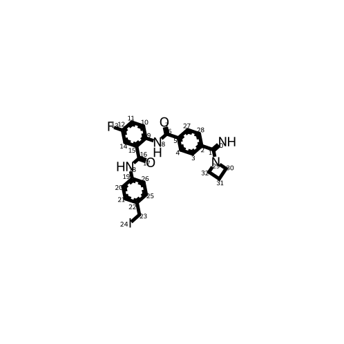 N=C(c1ccc(C(=O)Nc2ccc(F)cc2C(=O)Nc2ccc(CI)cc2)cc1)N1CCC1